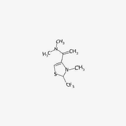 C=C(C1=CSC(C(F)(F)F)N1C)N(C)C